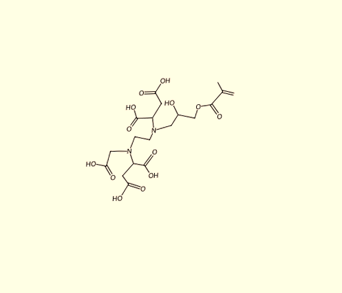 C=C(C)C(=O)OCC(O)CN(CCN(CC(=O)O)C(CC(=O)O)C(=O)O)C(CC(=O)O)C(=O)O